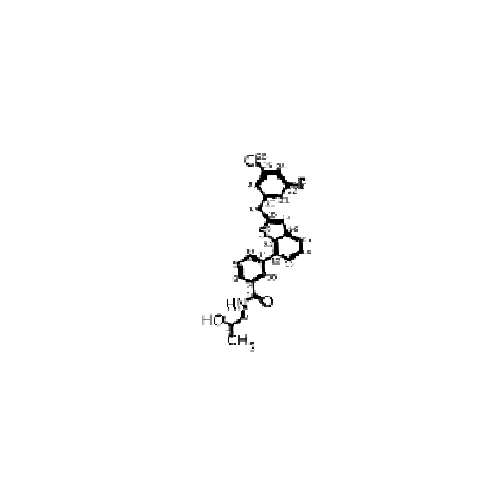 CC(O)CNC(=O)c1cccc(-c2cccc3cc(Cc4cc(F)cc(Cl)c4)sc23)c1